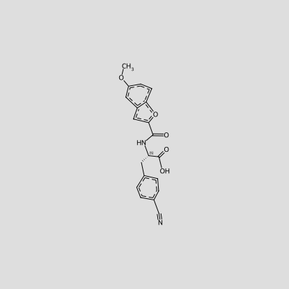 COc1ccc2oc(C(=O)N[C@@H](Cc3ccc(C#N)cc3)C(=O)O)cc2c1